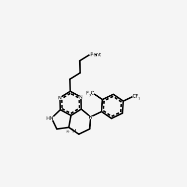 CCCC(C)CCCc1nc2c3c(n1)N(c1ccc(C(F)(F)F)cc1C(F)(F)F)CC[C@H]3CN2